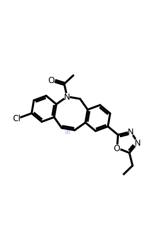 CCc1nnc(-c2ccc3c(c2)/C=C\c2cc(Cl)ccc2N(C(C)=O)C3)o1